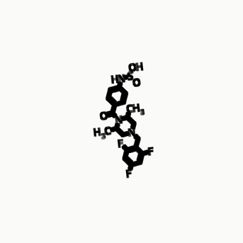 CC1CN(Cc2c(F)cc(F)cc2F)CC(C)N1C(=O)c1ccc(NS(=O)O)cc1